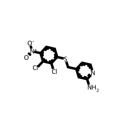 Nc1cc(CSc2ccc([N+](=O)[O-])c(Cl)c2Cl)ccn1